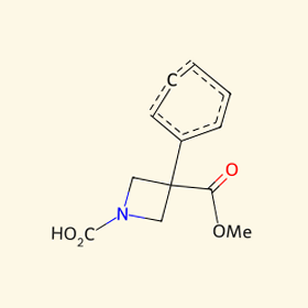 COC(=O)C1(c2ccccc2)CN(C(=O)O)C1